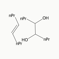 CCCC(O)C(O)CCC.CCCC=CCCC